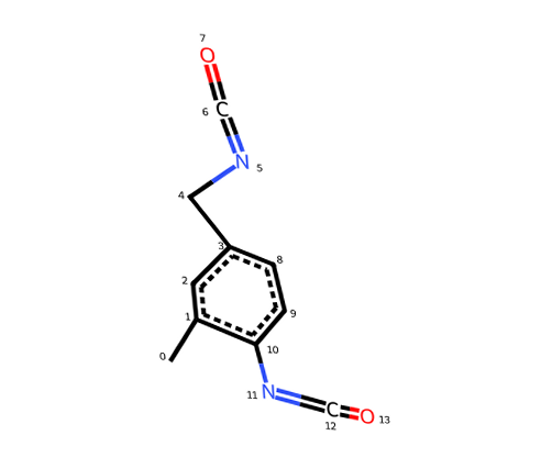 Cc1cc(CN=C=O)ccc1N=C=O